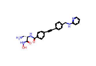 NC[C@H](NC(=O)c1ccc(C#Cc2ccc(CNc3ccccn3)cc2)cc1)C(=O)NO